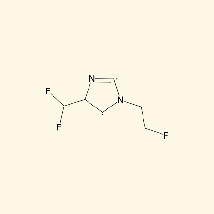 FCCN1[C]=NC(C(F)F)[CH]1